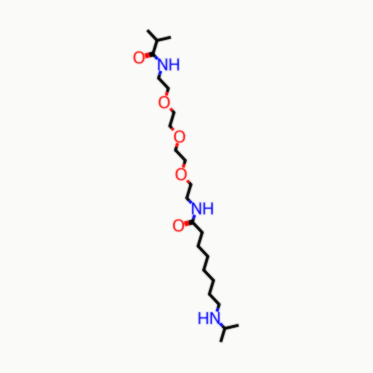 CC(C)NCCCCCCCC(=O)NCCOCCOCCOCCNC(=O)C(C)C